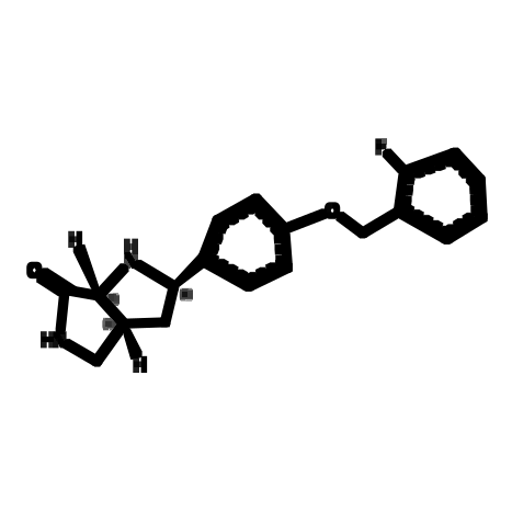 O=C1NC[C@H]2C[C@H](c3ccc(OCc4ccccc4F)cc3)N[C@@H]12